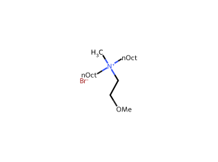 CCCCCCCC[N+](C)(CCCCCCCC)CCOC.[Br-]